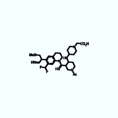 CNCC(C=N)c1cc2c(cc1C(F)F)N(C(=N)C1CN(C(C)=O)CCC1NC1CCN(CC(=O)O)CC1)CCC2